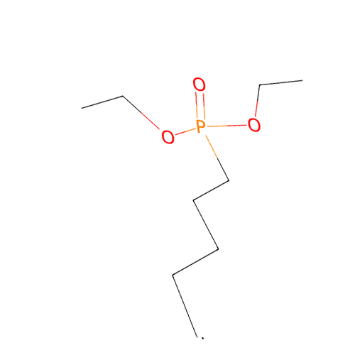 [CH2]CCCCP(=O)(OCC)OCC